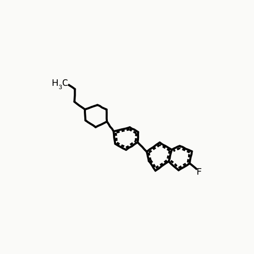 CCCC1CCC(c2ccc(-c3ccc4cc(F)ccc4c3)cc2)CC1